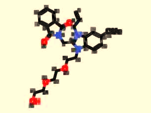 C=CC[n+]1c(CN2C(=O)c3ccccc3C2=O)n(CCOCCOCCO)c2ccc(OC)cc21